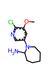 COc1cc(N2CCCCCC2N)cnc1Cl